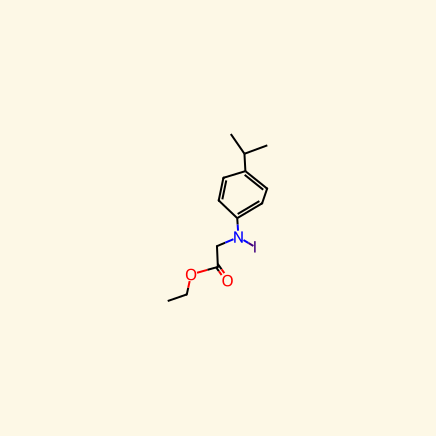 CCOC(=O)CN(I)c1ccc(C(C)C)cc1